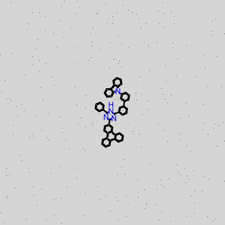 c1ccc(C2=NC(c3ccc4c5ccccc5c5ccccc5c4c3)=NC(c3cccc(-c4cccc(-n5c6ccccc6c6ccccc65)c4)c3)N2)cc1